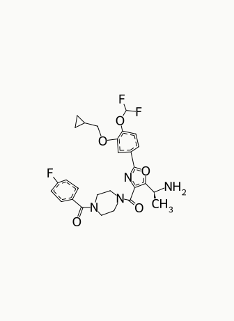 C[C@H](N)c1oc(-c2ccc(OC(F)F)c(OCC3CC3)c2)nc1C(=O)N1CCN(C(=O)c2ccc(F)cc2)CC1